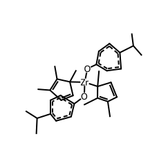 CC1=C(C)[C](C)([Zr]([O]c2ccc(C(C)C)cc2)([O]c2ccc(C(C)C)cc2)[C]2(C)C=CC(C)=C2C)C=C1